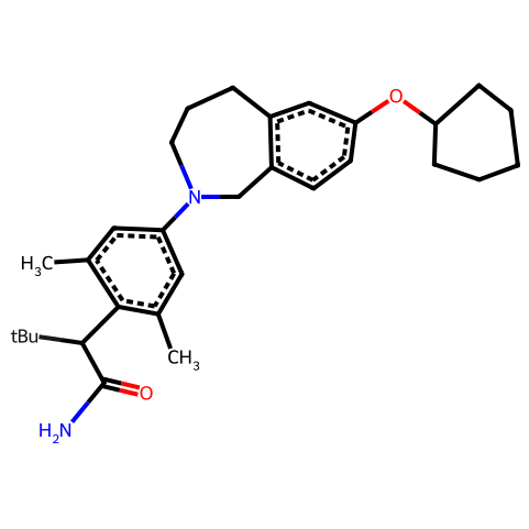 Cc1cc(N2CCCc3cc(OC4CCCCC4)ccc3C2)cc(C)c1C(C(N)=O)C(C)(C)C